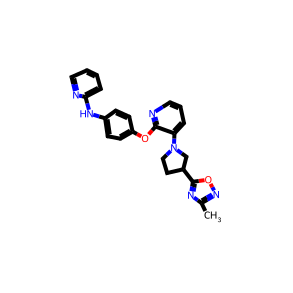 Cc1noc(C2CCN(c3cccnc3Oc3ccc(Nc4ccccn4)cc3)C2)n1